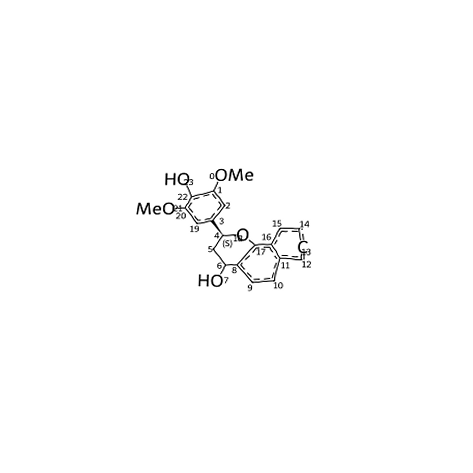 COc1cc([C@@H]2CC(O)c3ccc4ccccc4c3O2)cc(OC)c1O